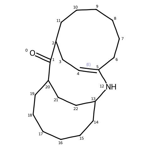 O=C1C2C/C=C(\CCCCCC2)NC2CCCCCCC1CC2